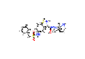 O=C(N[C@@H]1CN2CCC1CC2)c1nsc2ccc(NS(=O)(=O)Cc3ccccc3)cc12